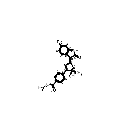 COC(=O)c1ccc(C2=CC(=C3C(=O)Nc4cc(F)ccc43)OC2(C)C)cc1